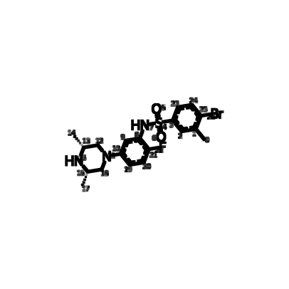 Cc1cc(S(=O)(=O)Nc2cc(N3C[C@@H](C)N[C@@H](C)C3)ccc2F)ccc1Br